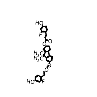 CC1(C)c2cc(OCOC=Cc3ccc(O)cc3F)ccc2-c2ccc(OC(=O)C=Cc3ccc(O)cc3F)cc21